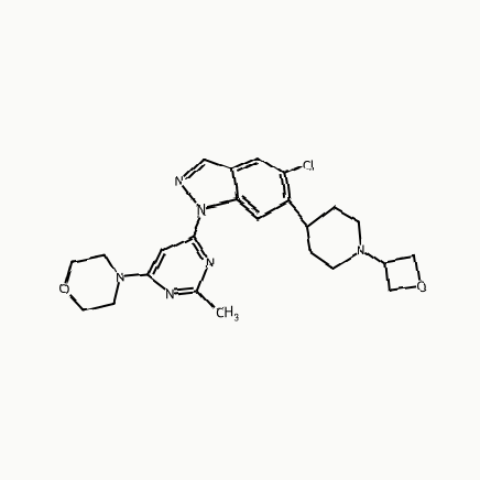 Cc1nc(N2CCOCC2)cc(-n2ncc3cc(Cl)c(C4CCN(C5COC5)CC4)cc32)n1